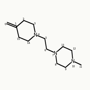 C=C1CCN(CCN2CCN(C)CC2)CC1